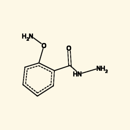 NNC(=O)c1ccccc1ON